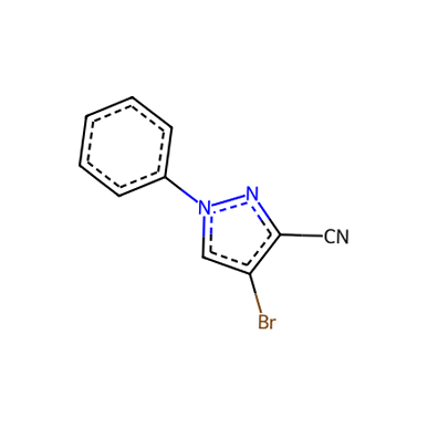 N#Cc1nn(-c2ccccc2)cc1Br